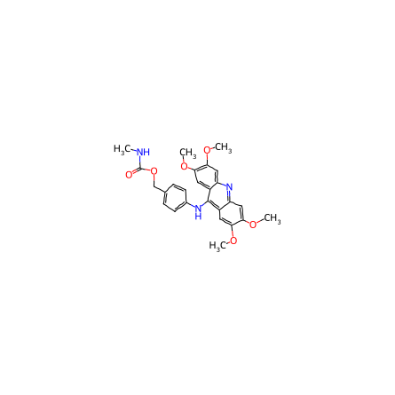 CNC(=O)OCc1ccc(Nc2c3cc(OC)c(OC)cc3nc3cc(OC)c(OC)cc23)cc1